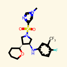 Cn1cnc(S(=O)(=O)N2C[C@@H](Nc3ccc(F)c(C(F)(F)F)c3)[C@H](C3CCCCO3)C2)c1